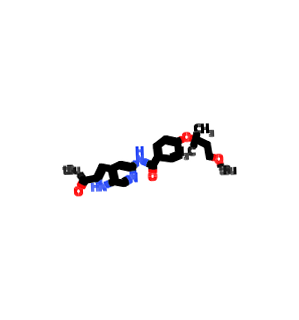 CC(C)(C)OCCC(C)(C)Oc1ccc(C(=O)Nc2cc3cc(C(=O)C(C)(C)C)[nH]c3cn2)cc1